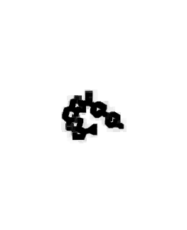 CN1CCN(c2ccc(Nc3ncc4ccc(=O)n(Cc5sccc5C5CC5)c4n3)cc2)CC1